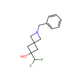 OC1(C(F)F)CC2(CN(Cc3ccccc3)C2)C1